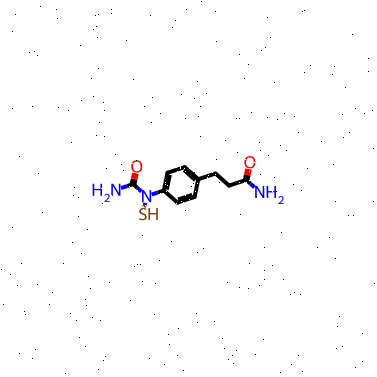 NC(=O)CCc1ccc(N(S)C(N)=O)cc1